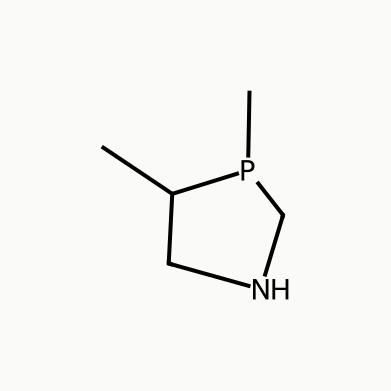 CC1CNCP1C